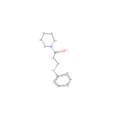 O=C(CCSc1ccccc1)N1CCCCC1